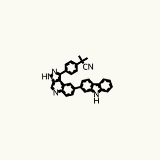 CC(C)(C#N)c1ccc(-c2n[nH]c3cnc4ccc(-c5ccc6c(c5)[nH]c5ccccc56)cc4c23)cc1